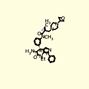 C/C=C(\CN1CCN(C2COC2)CC1)C(=O)N(C)c1cccc([C@@H]2c3cnn(-c4ccccc4)c3N(CC)C(=O)[C@H]2N)c1